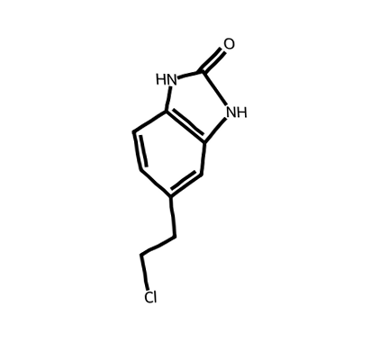 O=c1[nH]c2ccc(CCCl)cc2[nH]1